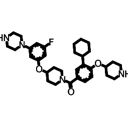 O=C(c1ccc(OC2CCNCC2)c(C2CCCCC2)c1)N1CCC(Oc2cc(F)cc(N3CCNCC3)c2)CC1